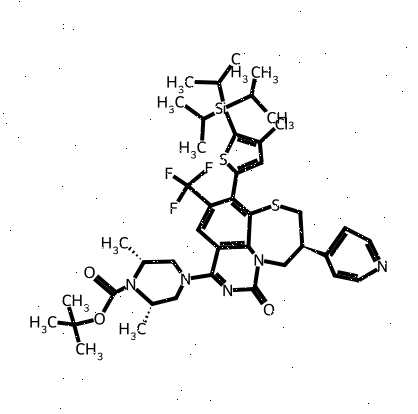 CC(C)[Si](c1sc(-c2c(C(F)(F)F)cc3c(N4C[C@@H](C)N(C(=O)OC(C)(C)C)[C@@H](C)C4)nc(=O)n4c3c2SC[C@@H](c2ccncc2)C4)cc1Cl)(C(C)C)C(C)C